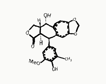 COc1cc([C@@H]2c3cc4c(cc3[C@@H](O)[C@H]3COC(=O)[C@H]23)OCO4)cc(C)c1O